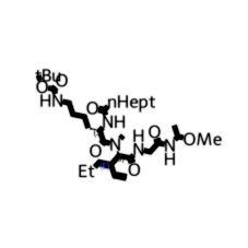 C=C/C(=C\CC)[C@@H](C(=O)NCC(=O)NC(C)OC)N(C)C(=O)[C@H](CCCCNC(=O)OC(C)(C)C)NC(=O)CCCCCCC